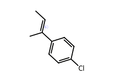 C/C=C(\C)c1ccc(Cl)cc1